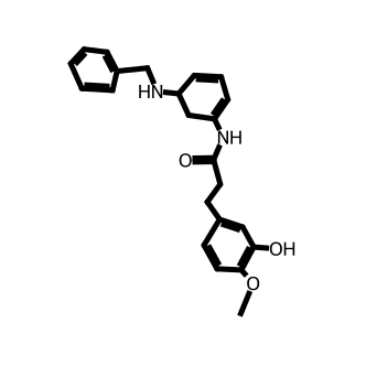 COc1ccc(CCC(=O)NC2=CC=CC(NCc3ccccc3)C2)cc1O